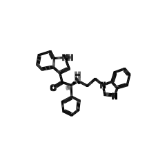 O=C(c1c[nH]c2ccccc12)[C@@H](NCCn1cnc2ccccc21)c1ccccc1